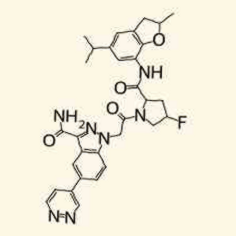 CC1Cc2cc(C(C)C)cc(NC(=O)C3CC(F)CN3C(=O)Cn3nc(C(N)=O)c4cc(-c5ccnnc5)ccc43)c2O1